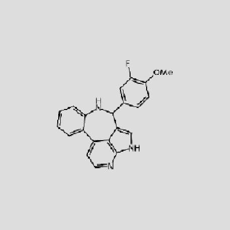 COc1ccc(C2Nc3ccccc3-c3ccnc4[nH]cc2c34)cc1F